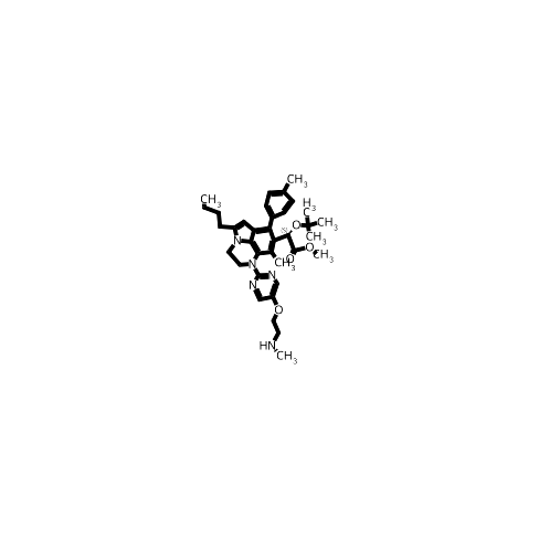 CCCCc1cc2c(-c3ccc(C)cc3)c([C@H](OC(C)(C)C)C(=O)OC)c(C)c3c2n1CCN3c1ncc(OCCNC)cn1